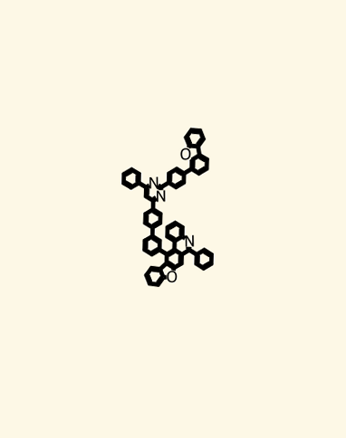 c1ccc(-c2cc(-c3ccc(-c4cccc(-c5c6c(cc7c(-c8ccccc8)nc8ccccc8c57)oc5ccccc56)c4)cc3)nc(-c3ccc(-c4cccc5c4oc4ccccc45)cc3)n2)cc1